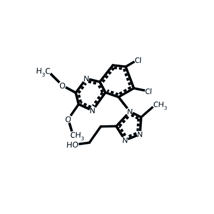 COc1nc2cc(Cl)c(Cl)c(-n3c(C)nnc3CCO)c2nc1OC